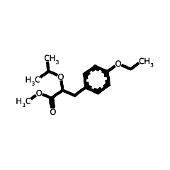 CCOc1ccc(CC(OC(C)C)C(=O)OC)cc1